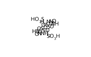 NC1=NC(=O)NC(=O)C1=C1Sc2c(OCCCS(=O)(=O)O)c3c(c(OCCCS(=O)(=O)O)c2S1)SC(=C1C(=O)NC(=O)N=C1N)S3